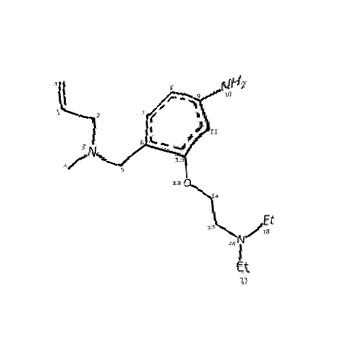 C=CCN(C)Cc1ccc(N)cc1OCCN(CC)CC